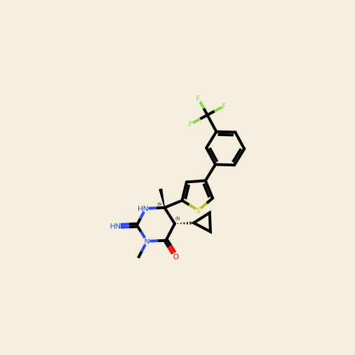 CN1C(=N)N[C@](C)(c2cc(-c3cccc(C(F)(F)F)c3)cs2)[C@H](C2CC2)C1=O